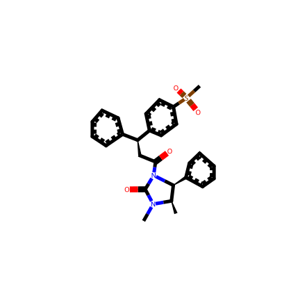 C[C@@H]1[C@H](c2ccccc2)N(C(=O)C[C@@H](c2ccccc2)c2ccc(S(C)(=O)=O)cc2)C(=O)N1C